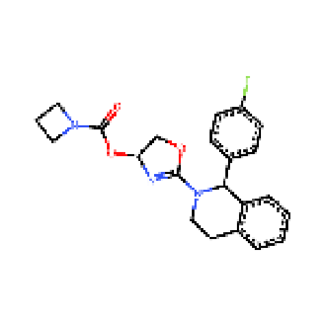 O=C(O[C@H]1COC(N2CCc3ccccc3[C@@H]2c2ccc(F)cc2)=N1)N1CCC1